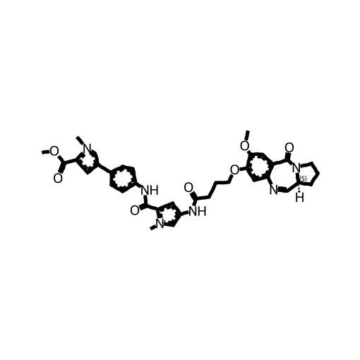 COC(=O)c1cc(-c2ccc(NC(=O)c3cc(NC(=O)CCCOc4cc5c(cc4OC)C(=O)N4CCC[C@H]4C=N5)cn3C)cc2)cn1C